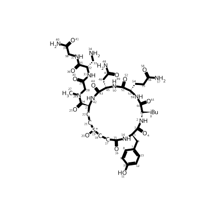 CC[C@H](C)[C@@H]1NC(=O)[C@@H](Cc2ccc(O)cc2)NC(=O)CC[S+]([O-])CC[C@@H](C(=O)N(C)CC(=O)N[C@@H](CN)C(=O)NCC(N)=O)NC(=O)[C@H](CC(N)=O)NC(=O)[C@H](CCC(N)=O)NC1=O